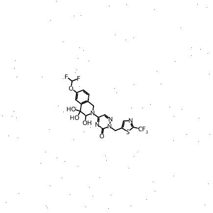 O=c1nc(N2Cc3ccc(OC(F)F)cc3C(O)(O)C2O)cnn1Cc1cnc(C(F)(F)F)s1